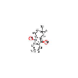 Cc1ccc2c(c1)C(=O)C1CCC3(C)CC3C1C2=O